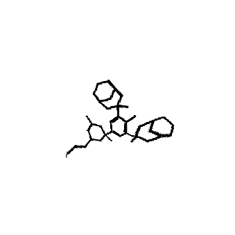 Cc1c(C2(C)CC3CCCC(C3)C2)cc(C2(C)CC(C)CC(CCI)C2)cc1C1(C)CC2CCCC(C2)C1